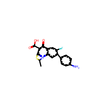 CC1Sc2c(C(=O)O)c(=O)c3cc(F)c(-c4ccc(N)cc4)cc3n21